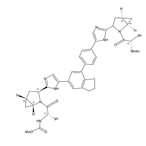 COC(=O)N[C@H](C(=O)N1[C@@H]2C[C@@H]2C[C@H]1c1ncc(-c2cc3c(c(-c4ccc(-c5cnc(C6C[C@H]7C[C@H]7N6C(=O)[C@@H](NC(C)=O)C(C)C)[nH]5)cc4)c2)CCC3)[nH]1)C(C)C